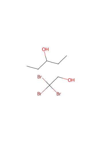 CCC(O)CC.OCC(Br)(Br)Br